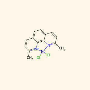 Cc1ccc2ccc3ccc(C)[n+]4c3c2[n+]1[N+]4(Cl)Cl